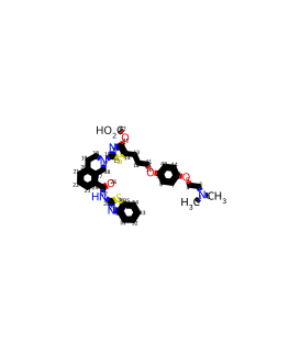 CN(C)CCOc1ccc(OCCCc2sc(N3CCc4cccc(C(=O)Nc5nc6ccccc6s5)c4C3)nc2OC(=O)O)cc1